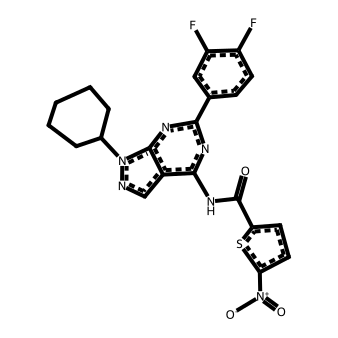 O=C(Nc1nc(-c2ccc(F)c(F)c2)nc2c1cnn2C1CCCCC1)c1ccc([N+](=O)[O-])s1